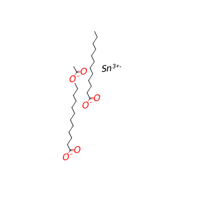 CC(=O)[O-].CCCCCCCCCCCC(=O)[O-].CCCCCCCCCCCC(=O)[O-].[Sn+3]